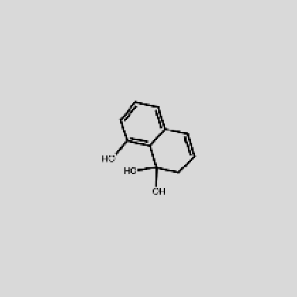 Oc1cccc2c1C(O)(O)CC=C2